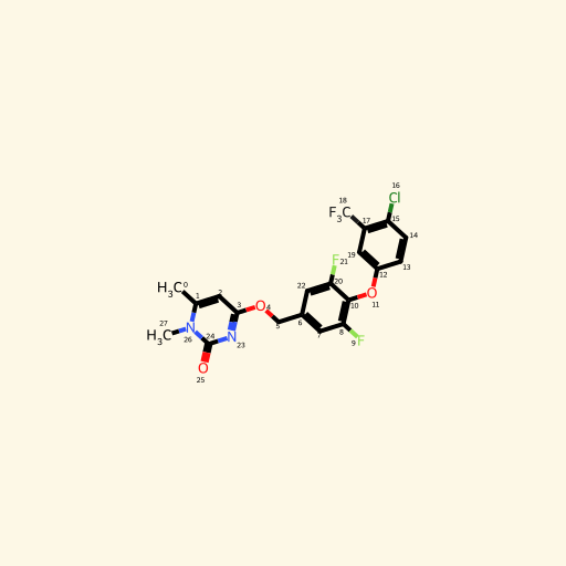 Cc1cc(OCc2cc(F)c(Oc3ccc(Cl)c(C(F)(F)F)c3)c(F)c2)nc(=O)n1C